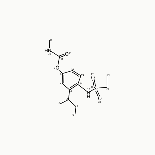 CCC(C)c1cc(OC(=O)NC)ccc1NS(=O)(=O)CC